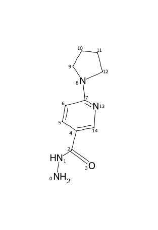 NNC(=O)c1ccc(N2CCCC2)nc1